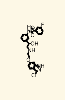 O=S(=O)(Nc1cccc(C(O)CNCCOc2ccc3c(Cl)n[nH]c3c2)c1)c1cccc(F)c1